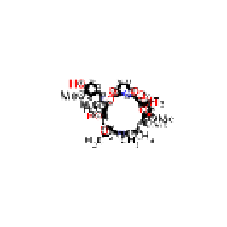 C=CC[C@H]1/C=C(/C)C[C@@H](C)C[C@@H](OC)[C@@H]2O[C@@](O)(C(=O)C(=O)N3CCCCC3C(=O)O[C@H](/C(C)=C/[C@@H]3CC[C@@H](O)[C@H](OC)C3)[C@H](C)[C@@H](O)CC1=O)[C@H](C)C[C@@H]2OC